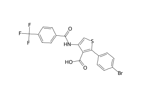 O=C(Nc1csc(-c2ccc(Br)cc2)c1C(=O)O)c1ccc(C(F)(F)F)cc1